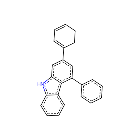 C1=CCCC(c2cc(-c3ccccc3)c3c(c2)[nH]c2ccccc23)=C1